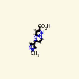 Cn1cc(-c2ccn3nc(C(=O)O)cc3n2)cn1